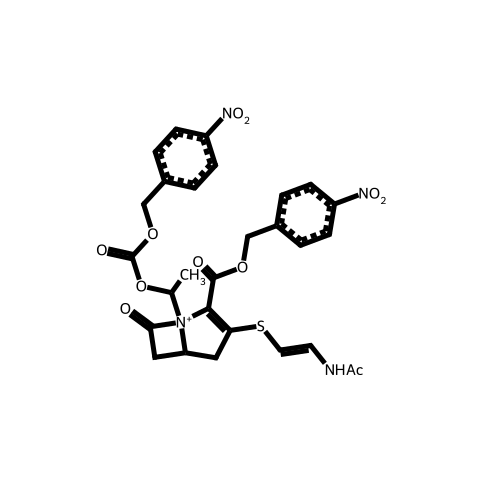 CC(=O)NC=CSC1=C(C(=O)OCc2ccc([N+](=O)[O-])cc2)[N+]2(C(C)OC(=O)OCc3ccc([N+](=O)[O-])cc3)C(=O)CC2C1